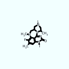 Cc1cc2c3c(nc(=O)n2I)N2C(C)CN(I)CC2CN(C)c3c1F